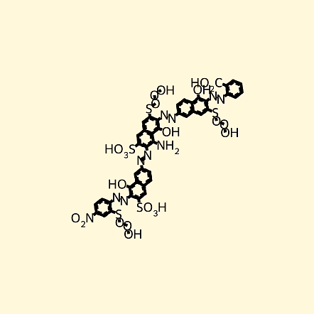 Nc1c(N=Nc2ccc3cc(S(=O)(=O)O)c(N=Nc4ccc([N+](=O)[O-])cc4SOOO)c(O)c3c2)c(S(=O)(=O)O)cc2cc(SOOO)c(N=Nc3ccc4c(O)c(N=Nc5ccccc5C(=O)O)c(SOOO)cc4c3)c(O)c12